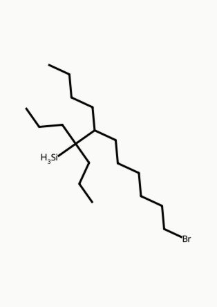 CCCCC(CCCCCCBr)C([SiH3])(CCC)CCC